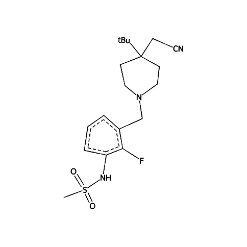 CC(C)(C)C1(CC#N)CCN(Cc2cccc(NS(C)(=O)=O)c2F)CC1